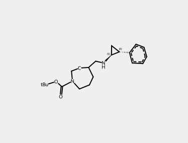 CC(C)(C)OC(=O)N1CCCC(CN[C@H]2C[C@@H]2c2ccccc2)CC1